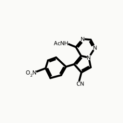 CC(=O)Nc1ncnn2cc(C#N)c(-c3ccc([N+](=O)[O-])cc3)c12